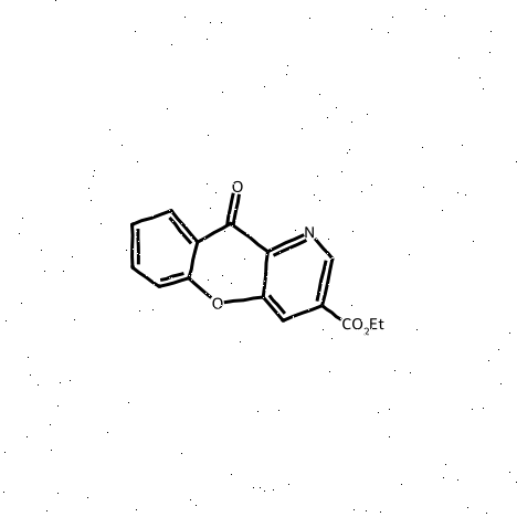 CCOC(=O)c1cnc2c(=O)c3ccccc3oc2c1